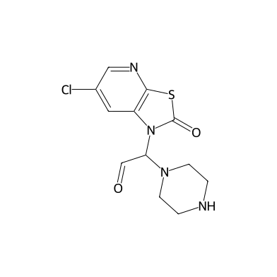 O=CC(N1CCNCC1)n1c(=O)sc2ncc(Cl)cc21